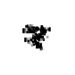 CCc1cnc(-c2ccc(C(=O)N[C@@H](CCN)C(=O)N(C)[C@@H]3C(=O)N[C@@H](C)C(=O)N[C@H](C(=O)NCC#N)Cc4ccc(OCCN)c(c4)-c4cc3ccc4OCCN)c(C)c2)nc1